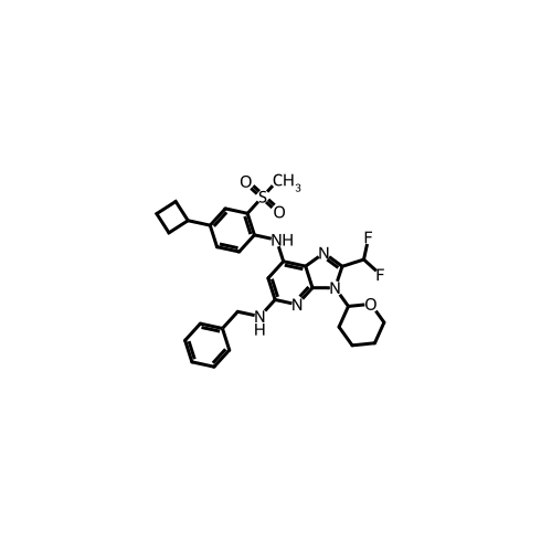 CS(=O)(=O)c1cc(C2CCC2)ccc1Nc1cc(NCc2ccccc2)nc2c1nc(C(F)F)n2C1CCCCO1